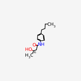 CCCCc1ccc(NC(=O)C[C@@H](C)O)cc1